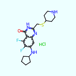 Cl.O=c1[nH]c(CSC2CCNCC2)nc2cc(NC3CCCC3)c(F)c(F)c12